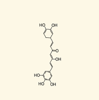 O=C(C=CC1C=C(O)C(O)=CC1)C=C(O)C=Cc1cc(O)c(O)c(O)c1